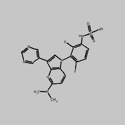 CCCS(=O)(=O)Nc1ccc(F)c(-n2cc(-c3cncnc3)c3nc(N(C)C)ccc32)c1F